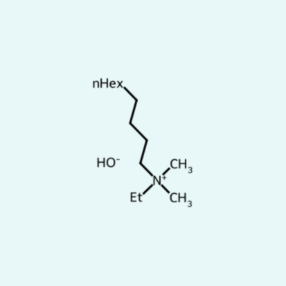 CCCCCCCCCC[N+](C)(C)CC.[OH-]